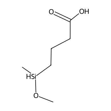 CO[SiH](C)CCCC(=O)O